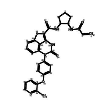 C=CC(=O)NC1CCCC1NC(=O)c1sc2nccc3c2c1NC(=O)N3c1ccc(Oc2cccnc2C)cc1